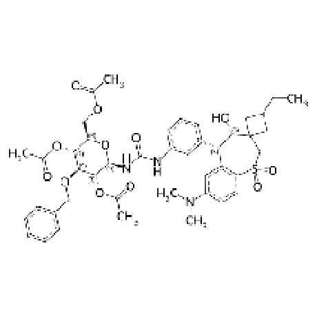 CCC1CC2(C1)CS(=O)(=O)c1ccc(N(C)C)cc1[C@H](c1cccc(NC(=O)N[C@@H]3O[C@H](COC(C)=O)[C@@H](OC(C)=O)[C@H](OCc4ccccc4)[C@H]3OC(C)=O)c1)[C@@H]2O